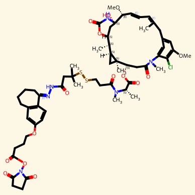 COc1cc2cc(c1Cl)N(C)C(=O)C[C@H](OC(=O)[C@H](C)N(C)C(=O)CCSSC(C)(C)CC(=O)N/N=C1\CCCCc3cc(OCCCC(=O)ON4C(=O)CCC4=O)ccc31)[C@@]1(C)C[C@H]1[C@H](C)[C@@H]1C[C@@](O)(NC(=O)O1)[C@H](OC)/C=C/C=C(\C)C2